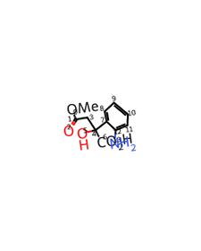 COC(=O)CC(O)(C(=O)O)c1ccccc1N